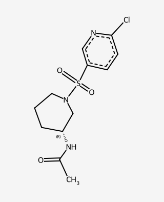 CC(=O)N[C@@H]1CCCN(S(=O)(=O)c2ccc(Cl)nc2)C1